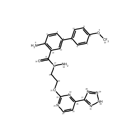 Nc1ccc(-c2ccc(OC(F)(F)F)cc2)cc1C(=O)N(N)CCOc1nccc(-c2nn[nH]n2)n1